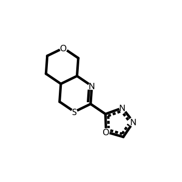 c1nnc(C2=NC3COCCC3CS2)o1